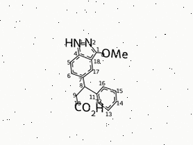 COc1n[nH]c2ccc(C(CC(=O)O)c3ccccc3)cc12